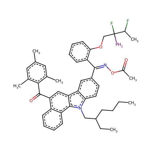 CCCCC(CC)Cn1c2ccc(/C(=N\OC(C)=O)c3ccccc3OCC(F)(P)C(C)F)cc2c2cc(C(=O)c3c(C)cc(C)cc3C)c3ccccc3c21